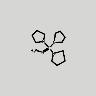 PN=P(N1CCCC1)(N1CCCC1)N1CCCC1